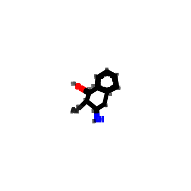 CC(=O)C1C(=N)Cc2ccccc2C1=O